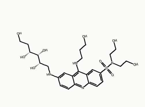 O=S(=O)(c1ccc2nc3ccc(NC[C@H](O)[C@@H](O)[C@H](O)CCO)cc3c(NCCCO)c2c1)N(CCO)CCO